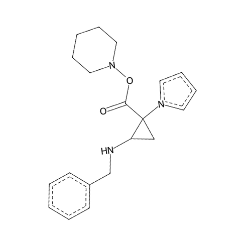 O=C(ON1CCCCC1)C1(n2cccc2)CC1NCc1ccccc1